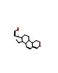 C[C@]12CCC3C(C=CC4=CC(=O)CC[C@@H]43)C1CC[C@@]21C=CC(=O)O1